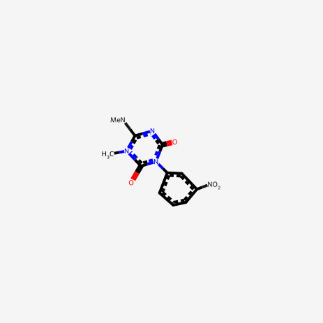 CNc1nc(=O)n(-c2cccc([N+](=O)[O-])c2)c(=O)n1C